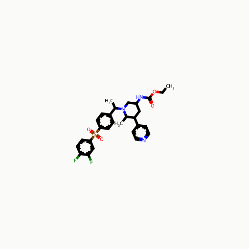 CCOC(=O)NC1CC(c2ccncc2)C(C)N(C(C)c2ccc(S(=O)(=O)c3ccc(F)c(F)c3)cc2)C1